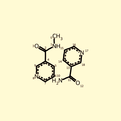 CNC(=O)c1cccnc1.NC(=O)c1cccnc1